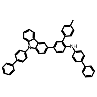 Cc1ccc(-c2cc(-c3ccc4c(c3)c3ccccc3n4-c3ccc(-c4ccccc4)cc3)ccc2Nc2ccc(-c3ccccc3)cc2)cc1